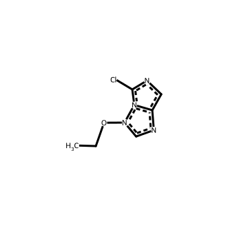 CCOn1cnc2cnc(Cl)n21